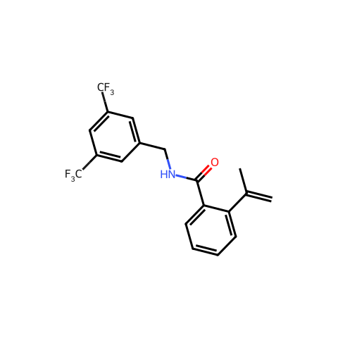 C=C(C)c1ccccc1C(=O)NCc1cc(C(F)(F)F)cc(C(F)(F)F)c1